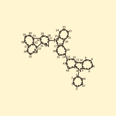 c1ccc(-n2c3ccccc3c3cc(-c4ccc5c(c4)c4ccccc4n5-c4ccc5c(n4)-c4nccc6cccc-5c46)ccc32)cc1